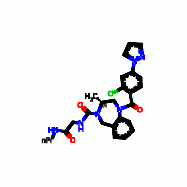 CCCNC(=O)CNC(=O)N1Cc2ccccc2N(C(=O)c2ccc(-n3cccn3)cc2Cl)C[C@H]1C